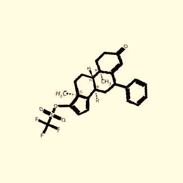 C[C@]12CC[C@H]3[C@@H](CC(c4ccccc4)C4=CC(=O)CC[C@@]43C)C1=CC=C2OS(=O)(=O)C(F)(F)F